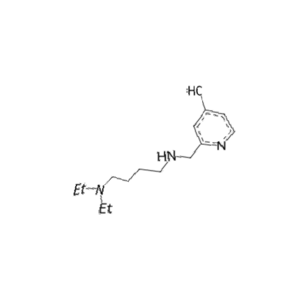 [CH]c1ccnc(CNCCCCN(CC)CC)c1